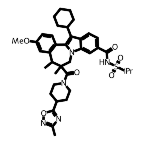 COc1ccc2c(c1)C(C)C(C)(C(=O)N1CCC(c3nc(C)no3)CC1)Cn1c-2c(C2CCCCC2)c2ccc(C(=O)NS(=O)(=O)C(C)C)cc21